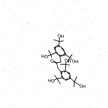 CC(C)(O)c1cc(C(C)(C)O)c(CC(=O)Cc2c(C(C)(C)O)cc(C(C)(C)O)cc2C(C)(C)O)c(C(C)(C)O)c1